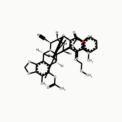 COCOc1c(OC)c(C)cc2c1[C@H]1N[C@@H](C2)[C@H](C#N)N2C1[C@@H]1SC[C@H](N3C(=O)c4ccccc4C3=O)C(=O)OC[C@H]2c2c3c(c(C)c(OC(C)=O)c21)OCO3